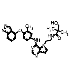 Cc1cc(Nc2ncnc3ccn(CCNC(=O)C(C)(C)CO)c23)ccc1Oc1cccc2sncc12